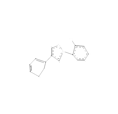 Oc1ccccc1-n1cc(C2=CC=CCC2)cn1